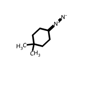 CC1(C)CCC(=[N+]=[N-])CC1